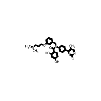 Cc1cnc(Cl)nc1-c1ccc(N(Cc2cccc(OCCCN(C)C)c2)C(=O)c2ccc(O)cc2O)cc1